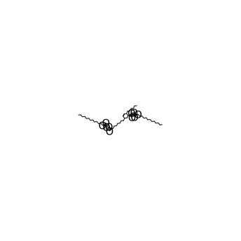 CCCCCCCCCCCCOC(=O)OOC(=O)CCCCCCCC1C=CC(CCCCCC)C(C(=O)OOC(=O)OCCCCCCCCCCCC)C1